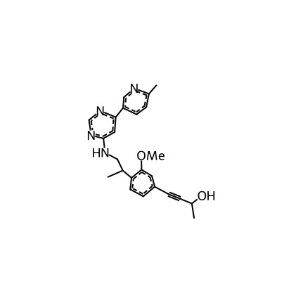 COc1cc(C#CC(C)O)ccc1C(C)CNc1cc(-c2ccc(C)nc2)ncn1